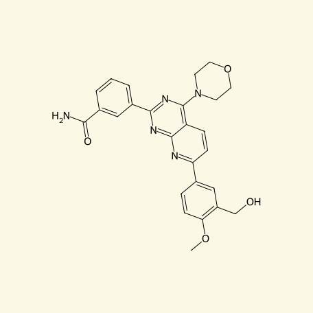 COc1ccc(-c2ccc3c(N4CCOCC4)nc(-c4cccc(C(N)=O)c4)nc3n2)cc1CO